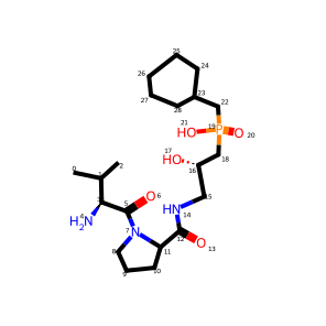 CC(C)[C@H](N)C(=O)N1CCCC1C(=O)NC[C@H](O)CP(=O)(O)CC1CCCCC1